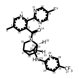 Cc1cnc(-c2ncc(F)cn2)c(C(=O)N2CC3CC[C@H]2[C@H](Nc2ccc(C(F)(F)F)cn2)C3)c1